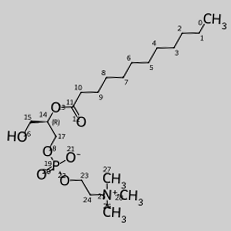 CCCCCCCCCCCC(=O)O[C@H](CO)COP(=O)([O-])OCC[N+](C)(C)C